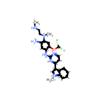 CNCCN(C)c1cc(OC(F)F)c(Nc2nccc(-c3cn(C)c4ccccc34)n2)cc1N